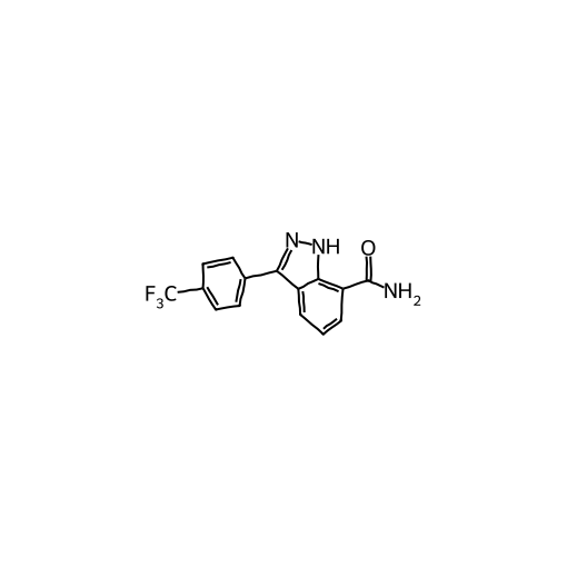 NC(=O)c1cccc2c(-c3ccc(C(F)(F)F)cc3)n[nH]c12